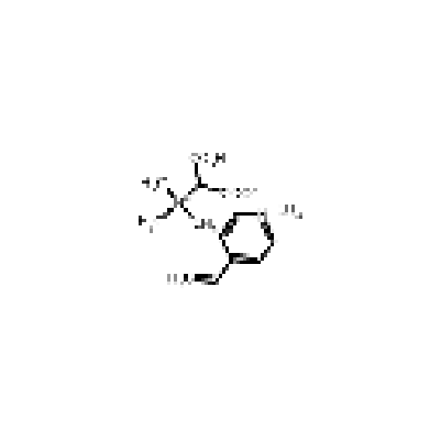 C.C=Cc1ccncc1.C[N+](C)(C)C(C(=O)[O-])C(=O)O